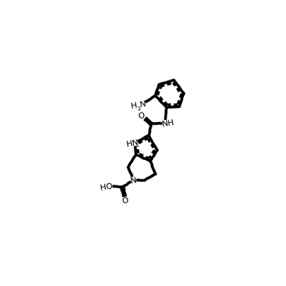 Nc1ccccc1NC(=O)c1cc2c([nH]1)CN(C(=O)O)CC2